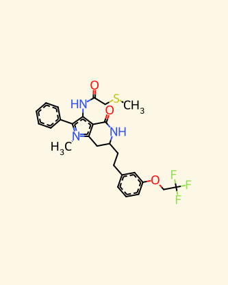 CSCC(=O)Nc1c2c(n(C)c1-c1ccccc1)CC(CCc1cccc(OCC(F)(F)F)c1)NC2=O